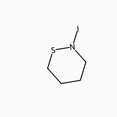 IN1CCCCS1